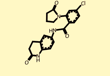 O=C1CCc2cc(NC(=O)c3ccc(Cl)cc3N3CCCC3=O)ccc2N1